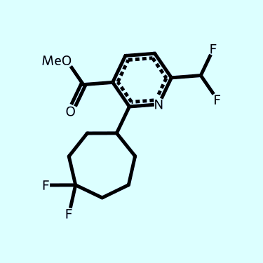 COC(=O)c1ccc(C(F)F)nc1C1CCCC(F)(F)CC1